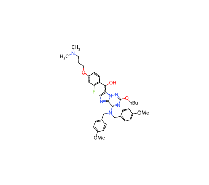 CCCCOc1nc(N(Cc2ccc(OC)cc2)Cc2ccc(OC)cc2)c2ncc(C(O)c3ccc(OCCCN(C)C)cc3F)n2n1